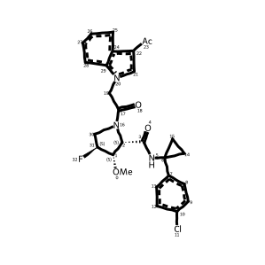 CO[C@H]1[C@@H](C(=O)NC2(c3ccc(Cl)cc3)CC2)N(C(=O)Cn2cc(C(C)=O)c3ccccc32)C[C@@H]1F